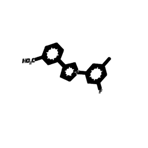 Cc1cc(F)cc(-n2ccc(-c3cccc(C(=O)O)c3)c2)c1